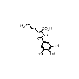 NCCCCC(NC(=O)c1cc(O)c(O)c(O)c1)C(=O)O